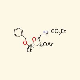 CCOC(=O)/C=C/C[C@@H]1O[C@@H]([C@@H](CC)OCc2ccccc2)C[C@H]1OC(C)=O